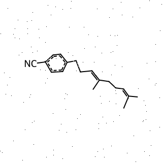 CC(C)=CCC/C(C)=C/CCc1ccc(C#N)cc1